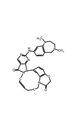 CN1CCN(C)c2cc(Nc3ncc4c(=O)n5n(c4n3)-c3ccc4c(c3)N(CCC/C=C\C5)C(=O)CO4)ccc2C1